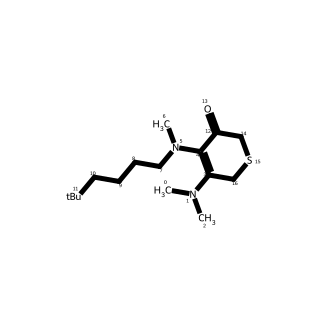 CN(C)C1=C(N(C)CCCCC(C)(C)C)C(=O)CSC1